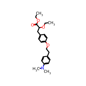 CCOC(=O)C(Cc1ccc(OCCc2ccc(N(C)C)cc2)cc1)OCC